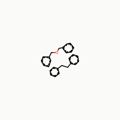 c1ccc(CCc2ccccc2)cc1.c1ccc(COCc2ccccc2)cc1